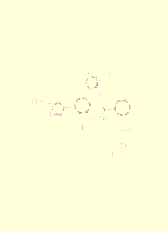 Cc1ccc(OC2CCN(C)CC2)cc1C(=O)N[C@H](C)c1cc(-c2cnn(C)c2)cc(-c2cnn(C)c2)c1